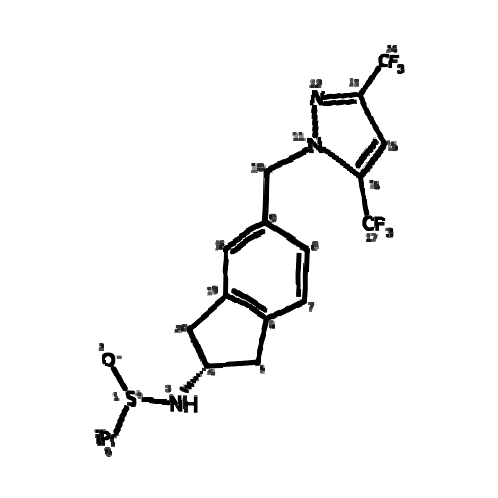 CC(C)[S+]([O-])N[C@H]1Cc2ccc(Cn3nc(C(F)(F)F)cc3C(F)(F)F)cc2C1